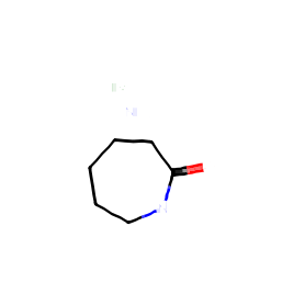 Br.N.O=C1CCCCCN1